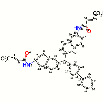 O=C(O)/C=C/C(=O)Nc1ccc2cc(C(c3ccc(-c4ccccc4)cc3)c3ccc4cc(NC(=O)/C=C/C(=O)O)ccc4c3)ccc2c1